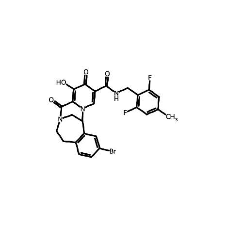 Cc1cc(F)c(CNC(=O)c2cn3c(c(O)c2=O)C(=O)N2CCc4ccc(Br)cc4C3C2)c(F)c1